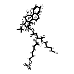 CC1(C)O[C@@H]2C[C@H]3[C@@H]4CCC5=CC(=O)C=C[C@]5(C)[C@@]4(F)[C@@H](O)C[C@]3(C)[C@]2(C(=O)COC(=O)CC(NC(=O)CCCCCO[N+](=O)[O-])C(=O)OCCCCI)O1